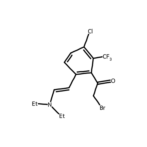 CCN(C=Cc1ccc(Cl)c(C(F)(F)F)c1C(=O)CBr)CC